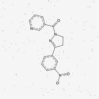 O=C(c1cccnc1)N1CCC(c2cccc([N+](=O)[O-])c2)=N1